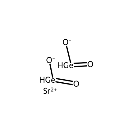 [O]=[GeH][O-].[O]=[GeH][O-].[Sr+2]